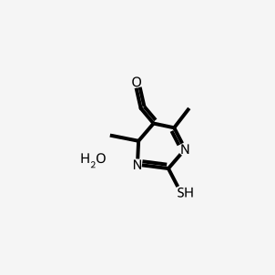 CC1=NC(S)=NC(C)C1=C=O.O